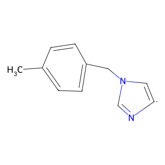 Cc1ccc(Cn2c[c]nc2)cc1